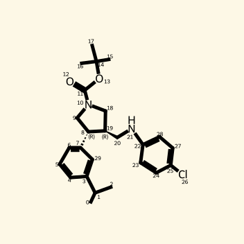 CC(C)c1cccc([C@@H]2CN(C(=O)OC(C)(C)C)C[C@H]2CNc2ccc(Cl)cc2)c1